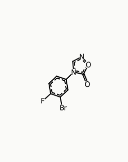 O=c1oncn1-c1ccc(F)c(Br)c1